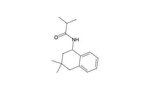 CC(C)C(=O)NC1CC(C)(C)Cc2ccccc21